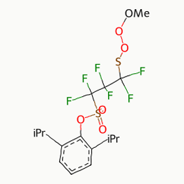 COOOSC(F)(F)C(F)(F)C(F)(F)S(=O)(=O)Oc1c(C(C)C)cccc1C(C)C